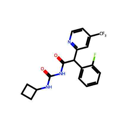 O=C(NC(=O)C(c1cc(C(F)(F)F)ccn1)c1ccccc1F)NC1CCC1